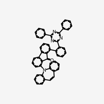 O=C1c2c(-c3ccccc3-c3nc(-c4ccccc4)nc(-c4ccccc4)n3)cccc2-c2cccc(N3c4ccccc4C=Cc4ccccc43)c21